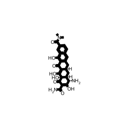 CN(C)C(=O)c1ccc2cc3c(c(O)c2c1)C(=O)C1=C(O)[C@]2(O)C(=O)C(C(N)=O)=C(O)[C@@H](N)[C@@H]2C[C@@H]1C3